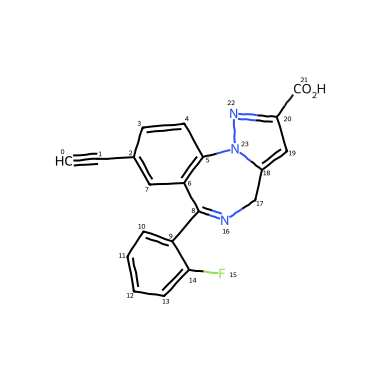 C#Cc1ccc2c(c1)C(c1ccccc1F)=NCc1cc(C(=O)O)nn1-2